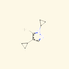 CC(C)(C)c1c(C2CC2)cnn1C1CC1